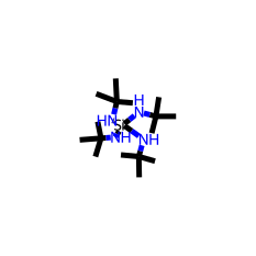 CC(C)(C)N[Si](NC(C)(C)C)(NC(C)(C)C)NC(C)(C)C